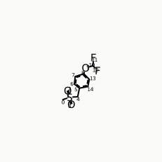 CS(=O)(=O)Cc1ccc(OC(F)F)cc1